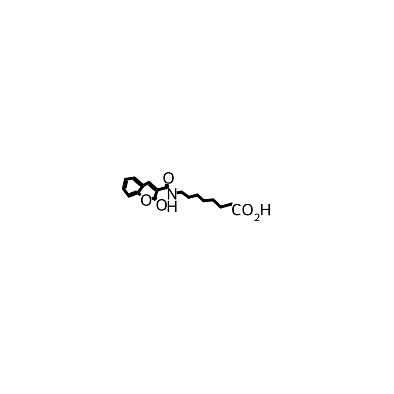 O=C(O)CCCCCCCNC(=O)c1cc2ccccc2oc1=O